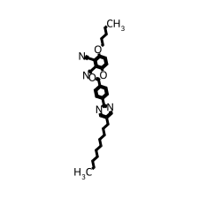 CCCCCCCCCCc1cnc(-c2ccc(C(=O)Oc3ccc(OCCCCC)c(C#N)c3C#N)cc2)nc1